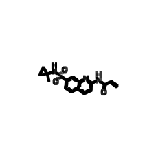 C=CC(=O)Nc1ccc2ccc(S(=O)(=O)NC3(C)CC3)cc2n1